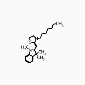 CCCCCCCN1CCSC1=CC1=[N+](C)c2ccccc2C1(C)C